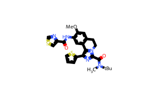 COc1cc2c(cc1NC(=O)c1cscn1)-c1c(-c3cccs3)nc(C(=O)N(C)C(C)(C)C)n1CC2